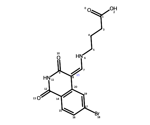 O=C(O)CCCN/C=C1\C(=O)NC(=O)c2ccc(Br)cc21